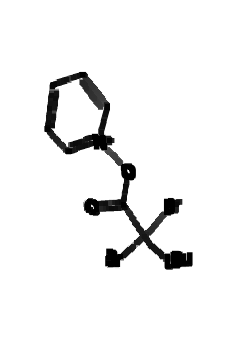 CC(C)(C)C(Br)(Br)C(=O)O[n+]1ccccc1